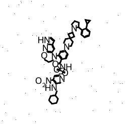 O=C(NS(=O)(=O)c1cc([N+](=O)[O-])c(NCC2CCCCC2)cn1)c1ccc(N2CCC3(CC2)CC(N2CCCC2c2ccccc2C2CC2)C3)cc1N1CCCOc2nc3[nH]ccc3cc21